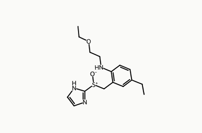 CCOCCNc1ccc(CC)cc1C[S+]([O-])c1ncc[nH]1